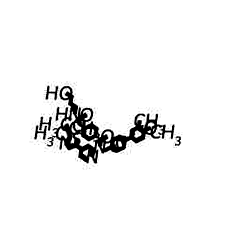 COc1ccc(C23CCC(CN(c4cc(-c5cnc(C(C)(C)C)s5)ccn4)C(=O)[C@H]4CC[C@H](OC(=O)NCCCO)CC4)(CC2)CC3)cc1C